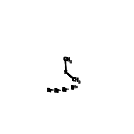 CSC.[B+3].[Br-].[Br-].[Br-]